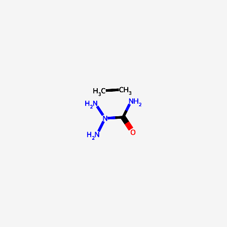 CC.NC(=O)N(N)N